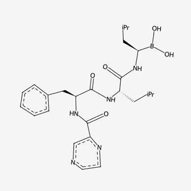 CC(C)C[C@H](NC(=O)[C@H](CC(C)C)NC(=O)[C@H](Cc1ccccc1)NC(=O)c1cnccn1)B(O)O